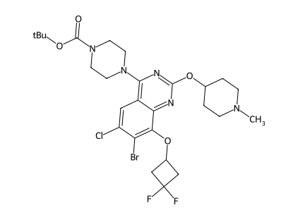 CN1CCC(Oc2nc(N3CCN(C(=O)OC(C)(C)C)CC3)c3cc(Cl)c(Br)c(OC4CC(F)(F)C4)c3n2)CC1